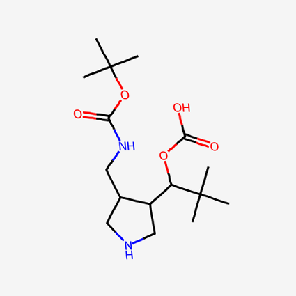 CC(C)(C)OC(=O)NCC1CNCC1C(OC(=O)O)C(C)(C)C